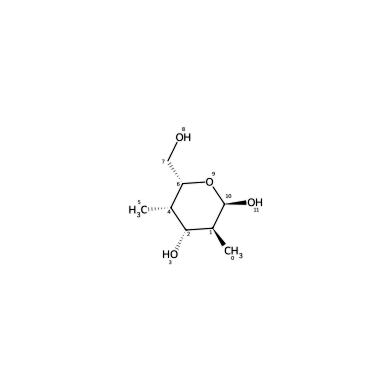 C[C@H]1[C@H](O)[C@H](C)[C@H](CO)O[C@H]1O